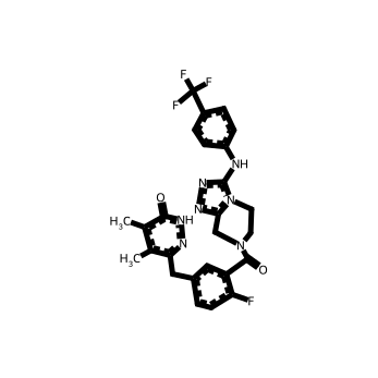 Cc1c(Cc2ccc(F)c(C(=O)N3CCn4c(nnc4Nc4ccc(C(F)(F)F)cc4)C3)c2)n[nH]c(=O)c1C